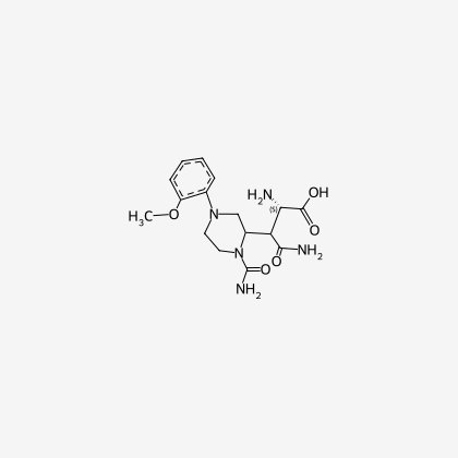 COc1ccccc1N1CCN(C(N)=O)C(C(C(N)=O)[C@H](N)C(=O)O)C1